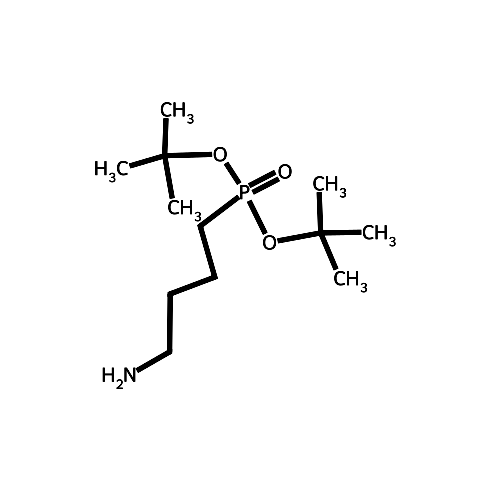 CC(C)(C)OP(=O)(CCCCN)OC(C)(C)C